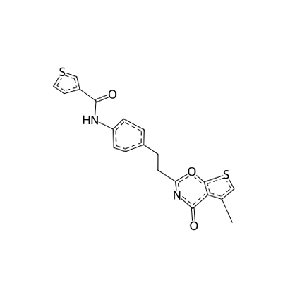 Cc1csc2oc(CCc3ccc(NC(=O)c4ccsc4)cc3)nc(=O)c12